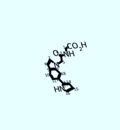 O=C(O)CNC(=O)Cn1ccc2ccc(-c3ccc[nH]3)cc21